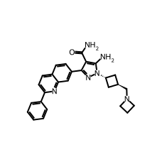 NC(=O)c1c(-c2ccc3ccc(-c4ccccc4)nc3c2)nn([C@H]2C[C@H](CN3CCC3)C2)c1N